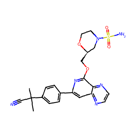 CC(C)(C#N)c1ccc(-c2cc3nccnc3c(OC[C@@H]3CN(S(N)(=O)=O)CCO3)n2)cc1